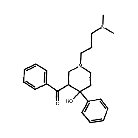 CN(C)CCCN1CCC(O)(c2ccccc2)C(C(=O)c2ccccc2)C1